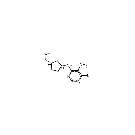 Nc1c(Cl)ncnc1N[C@@H]1CC[C@H](CO)C1